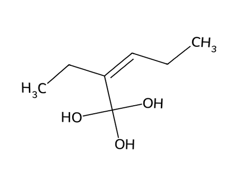 CCC=C(CC)C(O)(O)O